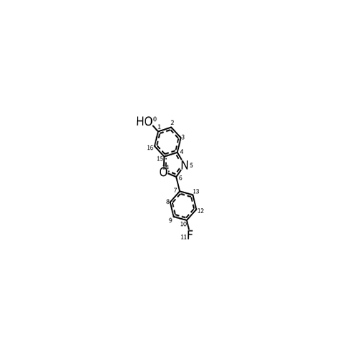 Oc1ccc2nc(-c3ccc(F)cc3)oc2c1